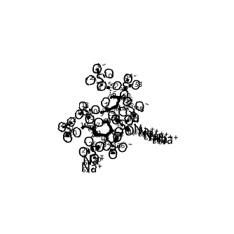 O=S(=O)([O-])OC[C@H]1O[C@@](COS(=O)(=O)[O-])(O[C@H]2O[C@H](COS(=O)(=O)[O-])[C@@H](OS(=O)(=O)[O-])[C@H](OS(=O)(=O)[O-])[C@H]2OS(=O)(=O)[O-])[C@@H](OS(=O)(=O)[O-])[C@@H]1OS(=O)(=O)[O-].[Na+].[Na+].[Na+].[Na+].[Na+].[Na+].[Na+].[Na+]